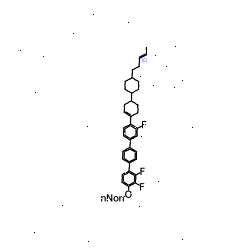 C/C=C/CCC1CCC(C2CC=C(c3ccc(-c4ccc(-c5ccc(OCCCCCCCCC)c(F)c5F)cc4)cc3F)CC2)CC1